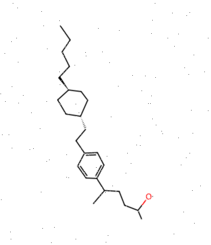 CCCCC[C@H]1CC[C@H](CCc2ccc(C(C)CCC(C)[O])cc2)CC1